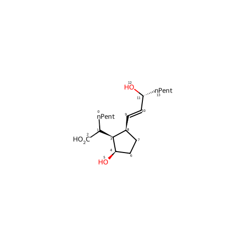 CCCCCC(C(=O)O)[C@@H]1[C@H](O)CC[C@@H]1C=C[C@H](O)CCCCC